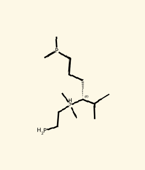 CC(C)[C@@H](CCCP(C)C)[PH](C)(C)CCP